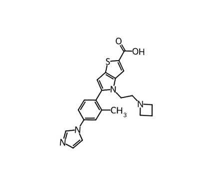 Cc1cc(-n2ccnc2)ccc1-c1cc2sc(C(=O)O)cc2n1CCN1CCC1